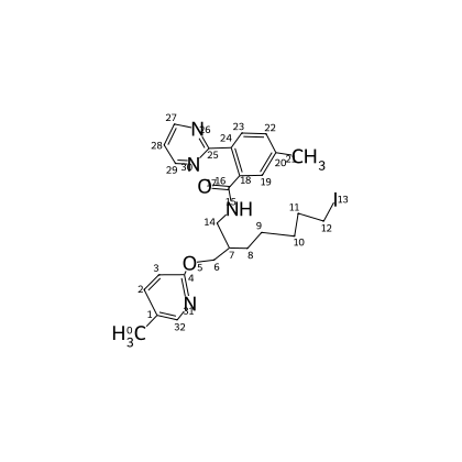 Cc1ccc(OCC(CCCCCI)CNC(=O)c2cc(C)ccc2-c2ncccn2)nc1